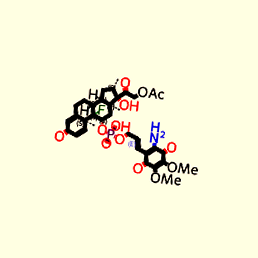 COC1=C(OC)C(=O)C(/C=C/COP(=O)(O)O[C@H]2C[C@@]3(C)[C@H](C[C@H](C)C3(O)C(=O)COC(C)=O)[C@@H]3CCC4=CC(=O)C=C[C@]4(C)[C@]23F)=C(N)C1=O